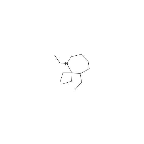 CCC1CCCCN(CC)C1(CC)CC